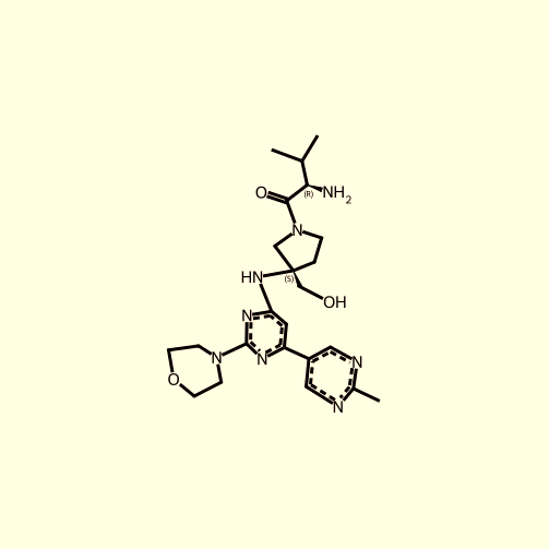 Cc1ncc(-c2cc(N[C@@]3(CO)CCN(C(=O)[C@H](N)C(C)C)C3)nc(N3CCOCC3)n2)cn1